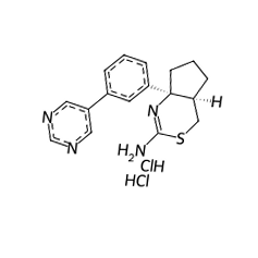 Cl.Cl.NC1=N[C@@]2(c3cccc(-c4cncnc4)c3)CCC[C@H]2CS1